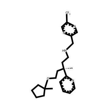 CC1(OCC[C@@](C)(CCNCc2cnc(C(F)(F)F)cn2)c2ccccn2)CCCC1